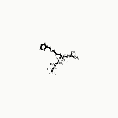 C[SiH2]O[SiH2][SiH2]O[Si](C)(CCCOCC1CCCO1)[SiH2]O[SiH](C)C